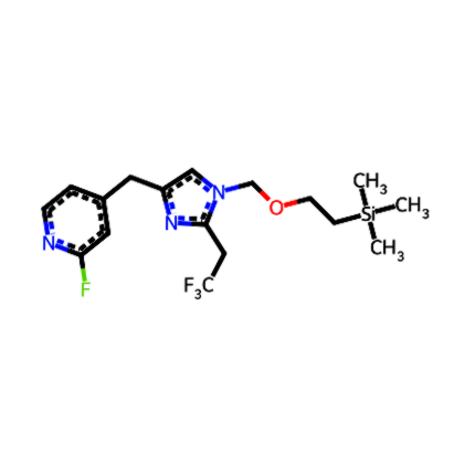 C[Si](C)(C)CCOCn1cc(Cc2ccnc(F)c2)nc1CC(F)(F)F